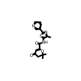 Cc1nc(-c2cccnc2)sc1NC(=O)C1=CC(=O)CC(C)(C)O1